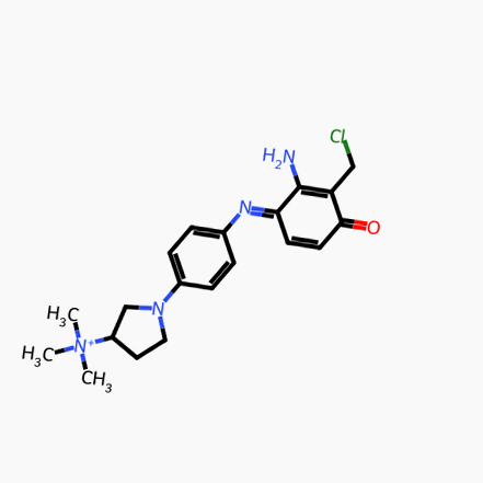 C[N+](C)(C)C1CCN(c2ccc(N=C3C=CC(=O)C(CCl)=C3N)cc2)C1